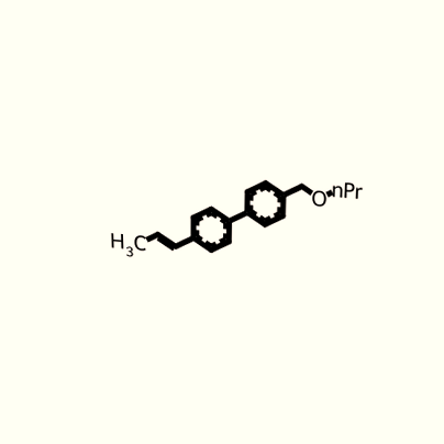 CC=Cc1ccc(-c2ccc(COCCC)cc2)cc1